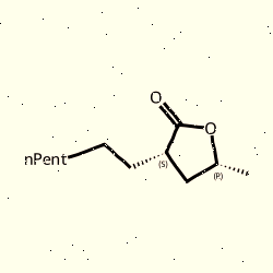 CCCCCCC[C@H]1C[C@@H](C)OC1=O